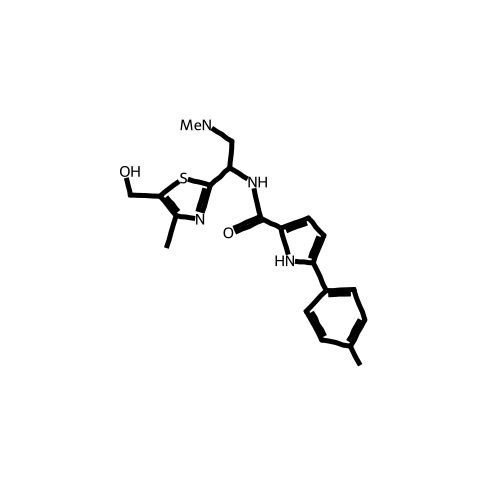 CNCC(NC(=O)c1ccc(-c2ccc(C)cc2)[nH]1)c1nc(C)c(CO)s1